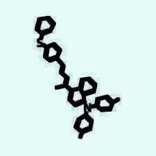 CC(=CC=Cc1ccc(Sc2ccccc2)cc1)c1ccc(N(c2ccc(C)cc2)c2ccc(C)cc2)c2ccccc12